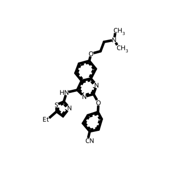 CCc1cnc(Nc2nc(Oc3ccc(C#N)cc3)nc3cc(OCCN(C)C)ccc23)s1